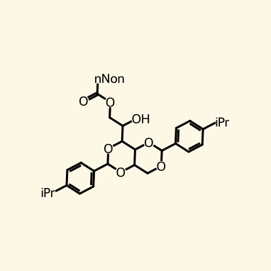 CCCCCCCCCC(=O)OCC(O)C1OC(c2ccc(C(C)C)cc2)OC2COC(c3ccc(C(C)C)cc3)OC21